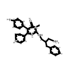 Cn1c(NCC(CN)Cc2ccccc2)nc(-c2ccncc2)c(-c2ccc(F)cc2)c1=O